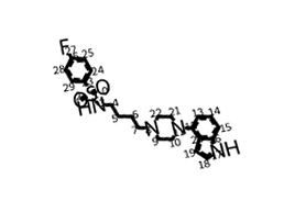 O=S(=O)(NCCCCN1CCN(c2cccc3[nH]ccc23)CC1)c1ccc(F)cc1